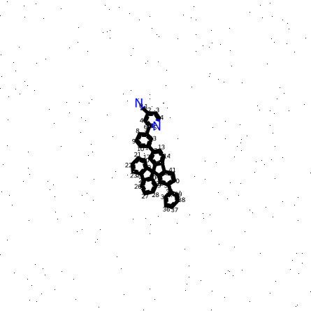 N#Cc1ccnc(-c2cccc(-c3ccc4c(c3)C3(c5ccccc5-c5ccccc53)c3cc(-c5ccccc5)ccc3-4)c2)c1